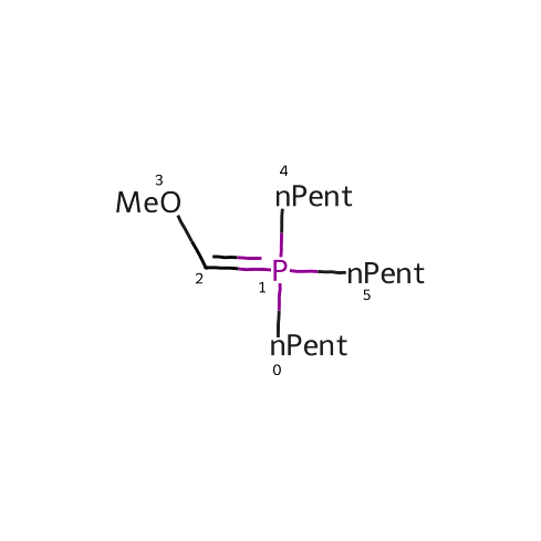 CCCCCP(=COC)(CCCCC)CCCCC